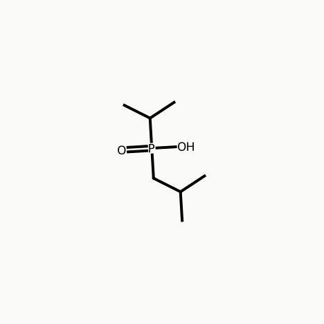 CC(C)CP(=O)(O)C(C)C